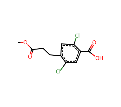 COC(=O)CCc1cc(Cl)c(C(=O)O)cc1Cl